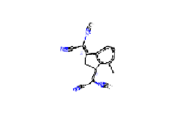 [C-]#[N+]/C(C#N)=C1/C/C(=C(\C#N)[N+]#[C-])c2c(C)cccc21